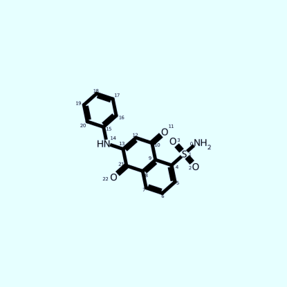 NS(=O)(=O)c1cccc2c1C(=O)C=C(Nc1ccccc1)C2=O